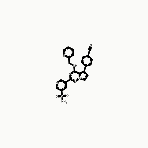 N#Cc1ccc(-c2ccn3nc(-c4cncc(S(N)(=O)=O)c4)nc(NCc4ccccn4)c23)cc1